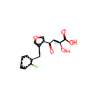 O=C(O)/C(O)=C/C(=O)c1cocc1Cc1ccccc1F